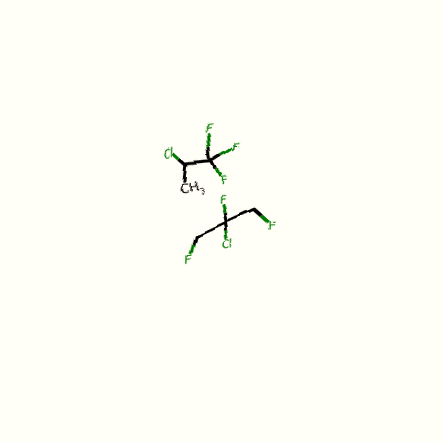 CC(Cl)C(F)(F)F.FCC(F)(Cl)CF